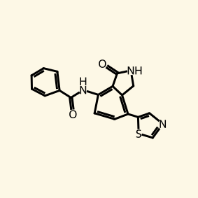 O=C(Nc1ccc(-c2cncs2)c2c1C(=O)NC2)c1ccccc1